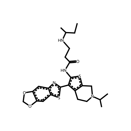 CCC(C)NCCC(=O)Nc1sc2c(c1-c1nc3cc4c(cc3s1)OCO4)CCN(C(C)C)C2